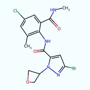 CNC(=O)c1cc(Cl)cc(C)c1NC(=O)c1cc(Br)nn1C1COC1